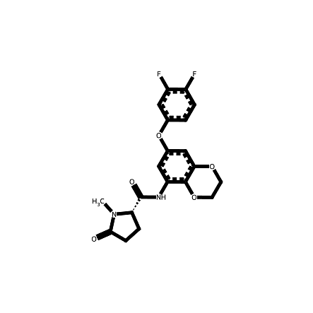 CN1C(=O)CC[C@H]1C(=O)Nc1cc(Oc2ccc(F)c(F)c2)cc2c1OCCO2